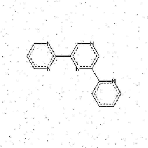 [c]1ncc(-c2ccccn2)nc1-c1ncccn1